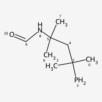 CC(C)(P)CC(C)(C)NC=O